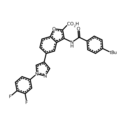 CC(C)(C)c1ccc(C(=O)Nc2c(C(=O)O)oc3ccc(-c4cnn(-c5ccc(F)c(F)c5)c4)cc23)cc1